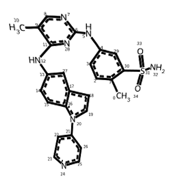 Cc1ccc(Nc2ncc(C)c(Nc3ccc4c(ccn4-c4ccncc4)c3)n2)cc1S(N)(=O)=O